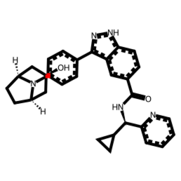 O=C(N[C@@H](c1ccccn1)C1CC1)c1ccc2[nH]nc(-c3ccc(N4[C@@H]5CC[C@H]4C[C@@H](O)C5)cc3)c2c1